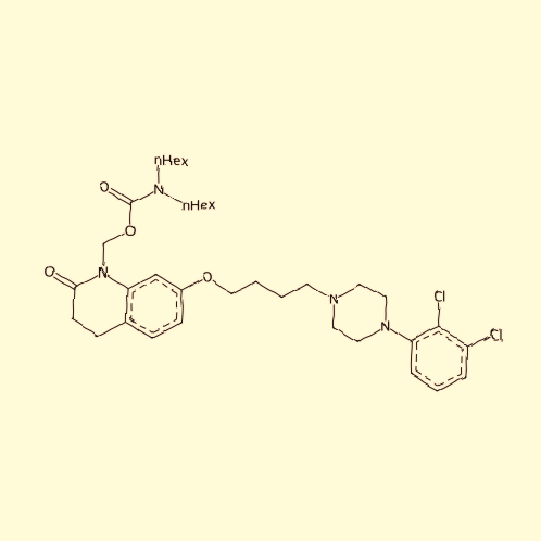 CCCCCCN(CCCCCC)C(=O)OCN1C(=O)CCc2ccc(OCCCCN3CCN(c4cccc(Cl)c4Cl)CC3)cc21